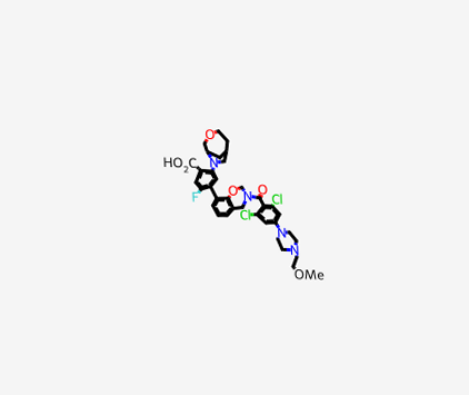 COCCN1CCN(c2cc(Cl)c(C(=O)N3COc4c(cccc4-c4cc(N5CC6CCOCC5C6)c(C(=O)O)cc4F)C3)c(Cl)c2)CC1